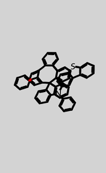 c1ccc(-c2c3cccc2C(c2ccccc2)(c2ccccc2N(c2ccccc2)c2ccc4sc5ccccc5c4c2)c2ccccc2-c2ccccc2-3)cc1